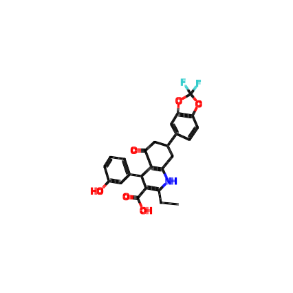 CCC1=C(C(=O)O)C(c2cccc(O)c2)C2=C(CC(c3ccc4c(c3)OC(F)(F)O4)CC2=O)N1